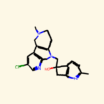 Cc1ccc2c(n1)CC2(O)Cn1c2c(c3cc(Cl)cnc31)CN(C)CC2